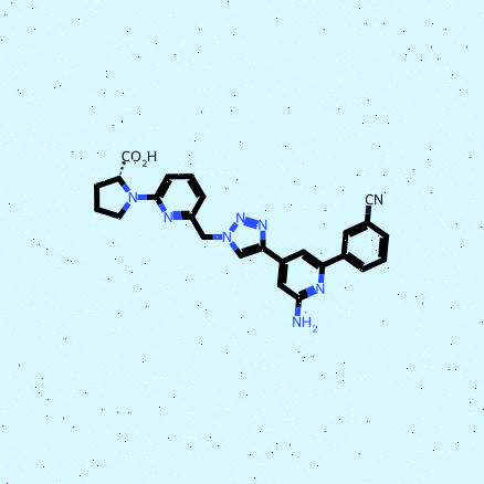 N#Cc1cccc(-c2cc(-c3cn(Cc4cccc(N5CCC[C@@H]5C(=O)O)n4)nn3)cc(N)n2)c1